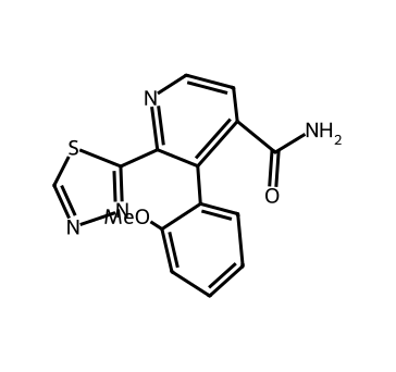 COc1ccccc1-c1c(C(N)=O)ccnc1-c1nncs1